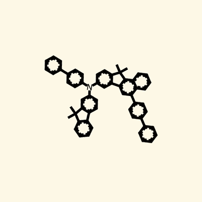 CC1(C)c2ccccc2-c2ccc(N(c3ccc(-c4ccccc4)cc3)c3ccc4c(c3)-c3cc(-c5ccc(-c6ccccc6)cc5)c5ccccc5c3C4(C)C)cc21